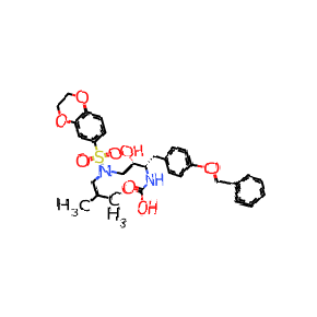 CC(C)CN(C[C@H](O)[C@H](Cc1ccc(OCc2ccccc2)cc1)NC(=O)O)S(=O)(=O)c1ccc2c(c1)OCCO2